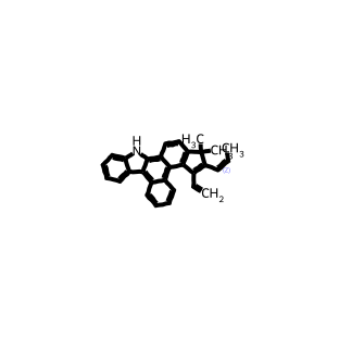 C=CC1=C(/C=C\C)C(C)(C)c2ccc3c4[nH]c5ccccc5c4c4ccccc4c3c21